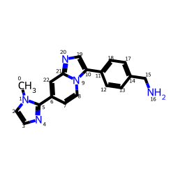 Cn1ccnc1-c1ccn2c(-c3ccc(CN)cc3)cnc2c1